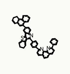 C1=Cc2cc(-c3ccc4nc(-c5ccc(-c6ccc7ccc8ccc(-c9ccccc9)nc8c7n6)cc5)c5c6c(sc5c4c3)=CCCC=6)c3ccccc3c2CC1